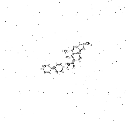 Cc1cc2nc(C)c3c(O)c(C(=O)NCc4ccc(-c5cncnc5)nc4)cnc3n2n1